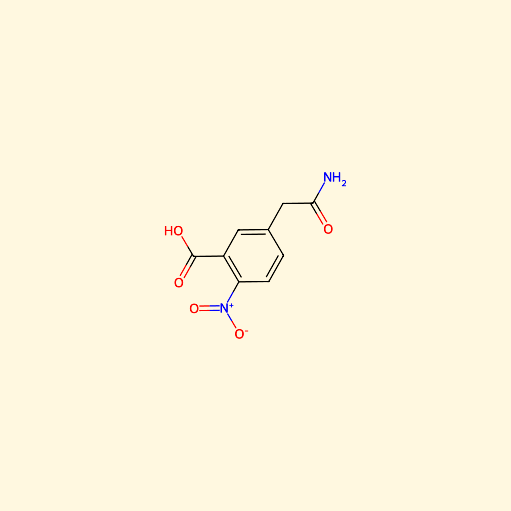 NC(=O)Cc1ccc([N+](=O)[O-])c(C(=O)O)c1